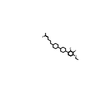 CCOc1ccc(C2CCC(C3CCC(CCC/C=C(/C)F)CC3)CC2)c(F)c1F